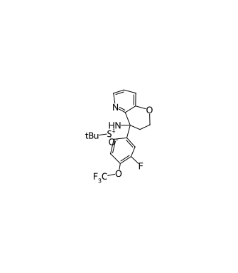 CC(C)(C)[S+]([O-])NC1(c2ccc(OC(F)(F)F)c(F)c2)CCOc2cccnc21